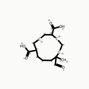 CC1(C=O)CCCC(C(=O)O)CCCC(C(=O)O)CCC1